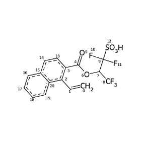 C=Cc1c(C(=O)OC(C(F)(F)F)C(F)(F)S(=O)(=O)O)ccc2ccccc12